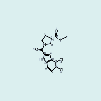 CNC(=O)[C@H]1CCN(C(=O)c2cc3c(Cl)c(Cl)ccc3[nH]2)C1